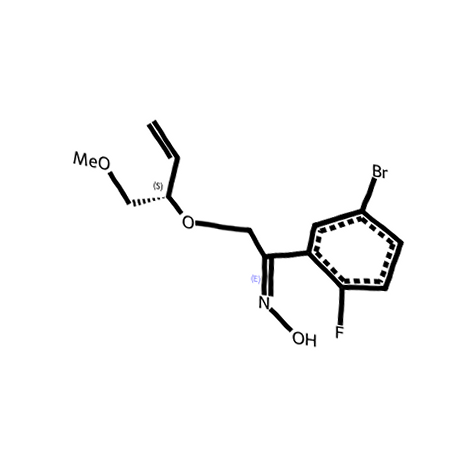 C=C[C@@H](COC)OC/C(=N/O)c1cc(Br)ccc1F